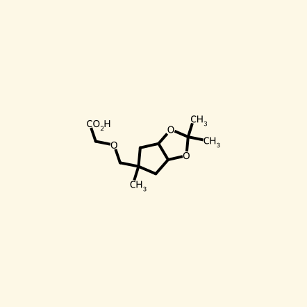 CC1(COCC(=O)O)CC2OC(C)(C)OC2C1